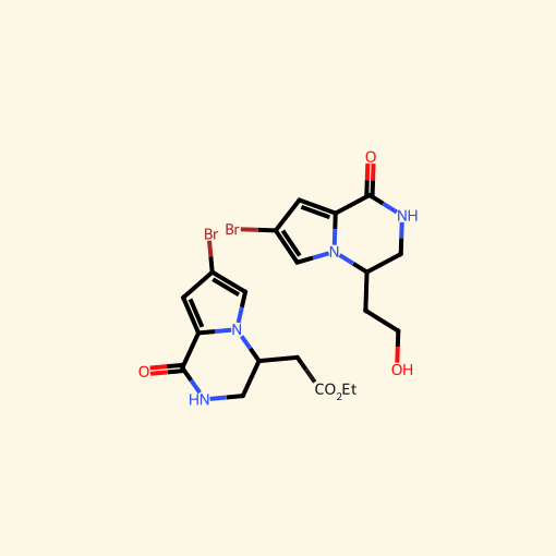 CCOC(=O)CC1CNC(=O)c2cc(Br)cn21.O=C1NCC(CCO)n2cc(Br)cc21